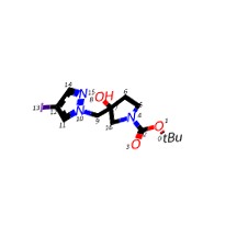 CC(C)(C)OC(=O)N1CCC(O)(Cn2cc(I)cn2)C1